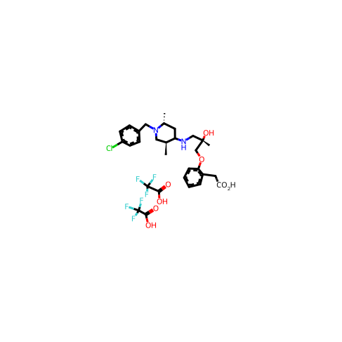 C[C@@H]1CC(NC[C@](C)(O)COc2ccccc2CC(=O)O)[C@@H](C)CN1Cc1ccc(Cl)cc1.O=C(O)C(F)(F)F.O=C(O)C(F)(F)F